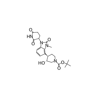 Cn1c(=O)n(C2CCC(=O)NC2=O)c2cccc([C@H]3CCN(C(=O)OC(C)(C)C)C[C@@H]3O)c21